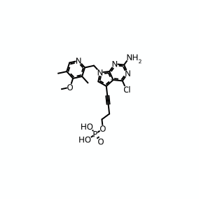 COc1c(C)cnc(Cn2cc(C#CCCOP(=O)(O)O)c3c(Cl)nc(N)nc32)c1C